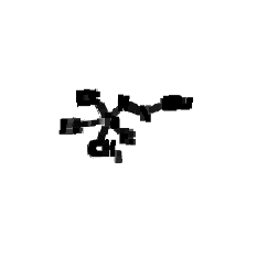 C[CH2][Ta]([CH3])([CH2]C)([CH2]C)[N]=NC(C)(C)C